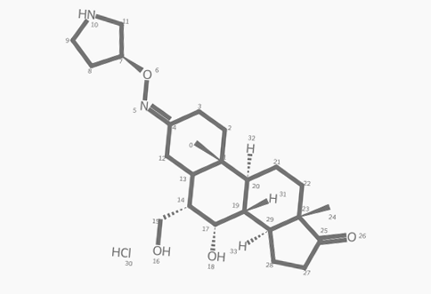 C[C@]12CC/C(=N\O[C@H]3CCNC3)CC1[C@@H](CO)[C@@H](O)[C@@H]1[C@@H]2CC[C@]2(C)C(=O)CC[C@@H]12.Cl